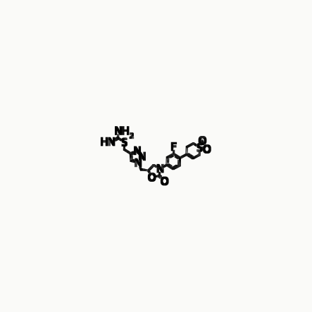 N=C(N)SCc1cn(C[C@H]2CN(c3ccc(C4=CCS(=O)(=O)CC4)c(F)c3)C(=O)O2)nn1